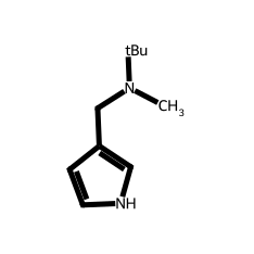 CN(Cc1cc[nH]c1)C(C)(C)C